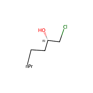 CCCCC[C@H](O)CCl